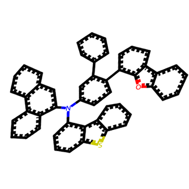 c1ccc(-c2cc(N(c3cc4ccccc4c4ccccc34)c3cccc4sc5ccccc5c34)ccc2-c2cccc3c2oc2ccccc23)cc1